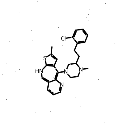 Cc1cc2c(s1)NC=c1cccnc1=C2N1CCN(C)C(CCc2ccccc2Cl)C1